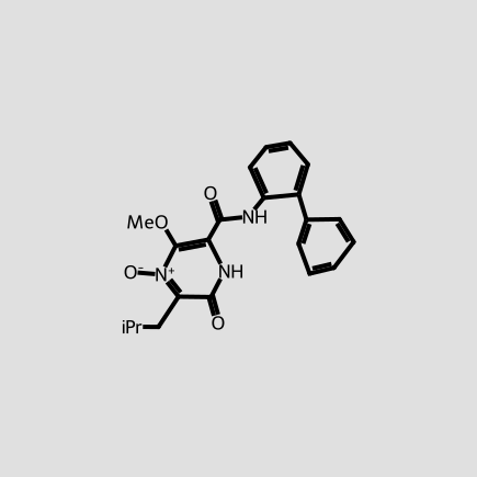 COc1c(C(=O)Nc2ccccc2-c2ccccc2)[nH]c(=O)c(CC(C)C)[n+]1[O-]